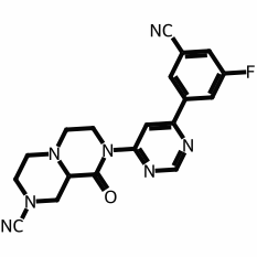 N#Cc1cc(F)cc(-c2cc(N3CCN4CCN(C#N)CC4C3=O)ncn2)c1